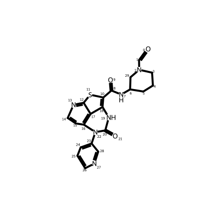 O=CN1CCCC(NC(=O)c2sc3nccc4c3c2NC(=O)N4c2cccnc2)C1